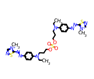 CCN(CCCOS(=O)(=O)OCCCN(CC)c1ccc(/N=N/c2snc[n+]2C)cc1)c1ccc(/N=N/c2snc[n+]2C)cc1